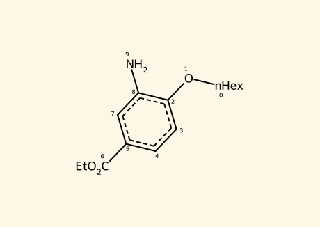 CCCCCCOc1ccc(C(=O)OCC)cc1N